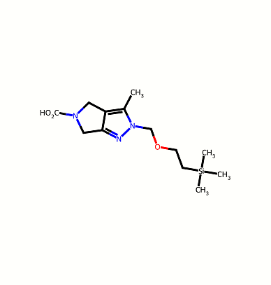 Cc1c2c(nn1COCC[Si](C)(C)C)CN(C(=O)O)C2